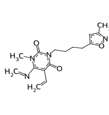 C=Cc1c(N=C)n(C)c(=O)n(CCCCc2cc(C)no2)c1=O